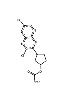 CNC(=O)O[C@H]1CCN(c2nc3ncc(Br)cc3nc2Cl)C1